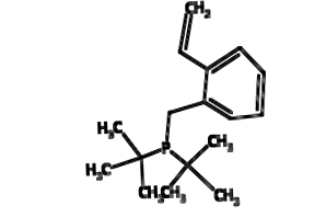 C=Cc1ccccc1CP(C(C)(C)C)C(C)(C)C